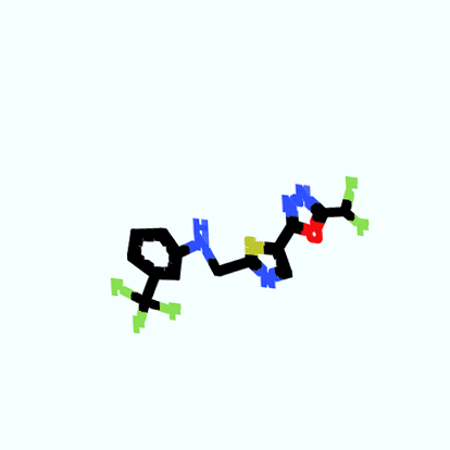 FC(F)c1nnc(-c2cnc(CNc3cccc(C(F)(F)F)c3)s2)o1